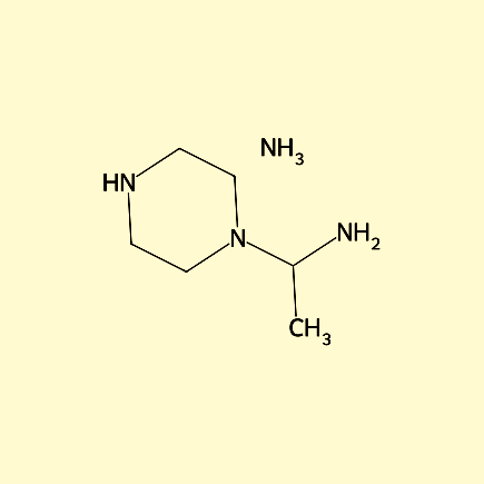 CC(N)N1CCNCC1.N